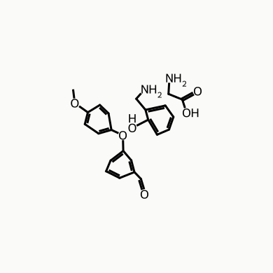 COc1ccc(Oc2cccc(C=O)c2)cc1.NCC(=O)O.NCc1ccccc1O